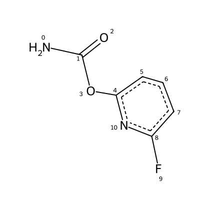 NC(=O)Oc1cccc(F)n1